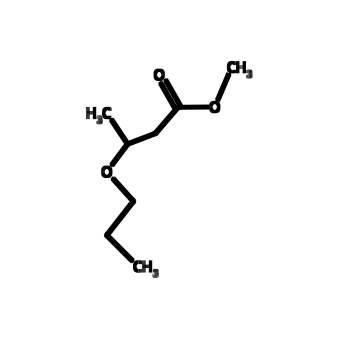 CCCOC(C)CC(=O)OC